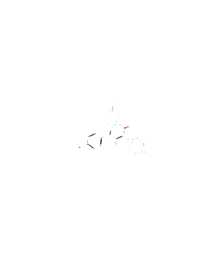 Cc1c(-c2ccc(C(F)(F)F)cc2)nn(CC(C)C)c(=O)c1N1CCN(C)CC1